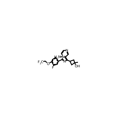 CC1(O)CC(C2=C3C=NC=C[N+]3(N)C(c3ccc(OCC(F)(F)F)c(F)c3)=N2)C1